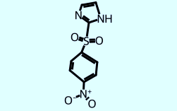 O=[N+]([O-])c1ccc(S(=O)(=O)c2ncc[nH]2)cc1